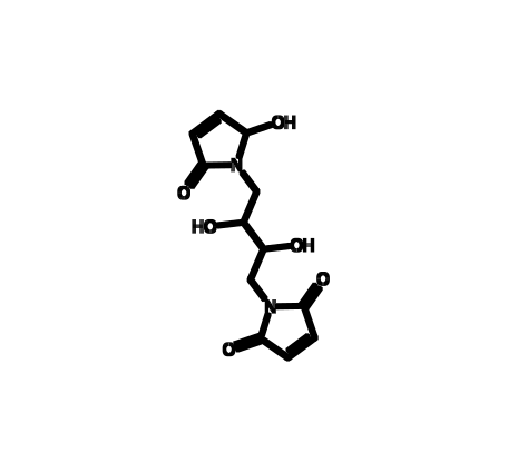 O=C1C=CC(=O)N1CC(O)C(O)CN1C(=O)C=CC1O